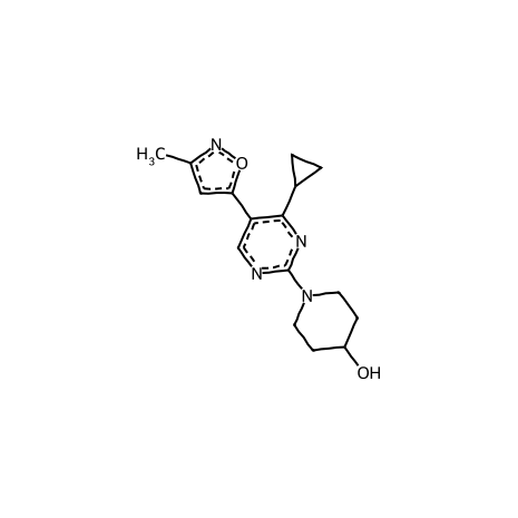 Cc1cc(-c2cnc(N3CCC(O)CC3)nc2C2CC2)on1